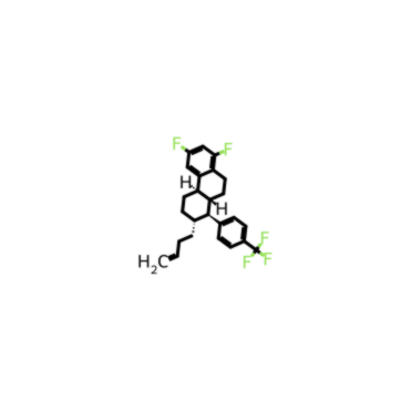 C=CCC[C@@H]1CC[C@H]2c3cc(F)cc(F)c3CC[C@@H]2[C@H]1c1ccc(C(F)(F)F)cc1